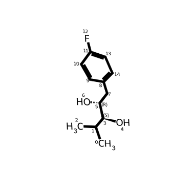 CC(C)[C@H](O)[C@H](O)Cc1ccc(F)cc1